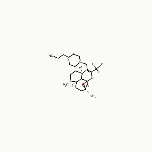 C[C@@H]1CC[C@H]2C(CN3CCN(CCO)CC3)=C(C(F)(F)F)O[C@@H]3O[C@]4(C)CC[C@@H]1[C@]32OO4